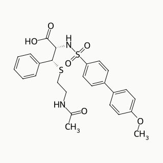 COc1ccc(-c2ccc(S(=O)(=O)N[C@@H](C(=O)O)[C@H](SCCNC(C)=O)c3ccccc3)cc2)cc1